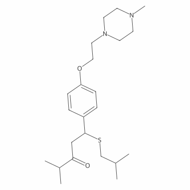 CC(C)CSC(CC(=O)C(C)C)c1ccc(OCCN2CCN(C)CC2)cc1